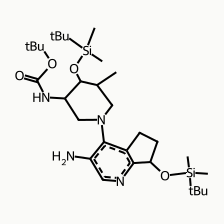 CC1CN(c2c(N)cnc3c2CCC3O[Si](C)(C)C(C)(C)C)CC(NC(=O)OC(C)(C)C)C1O[Si](C)(C)C(C)(C)C